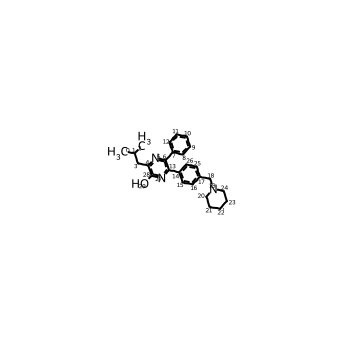 CC(C)Cc1nc(-c2ccccc2)c(-c2ccc(CN3CC[CH]CC3)cc2)nc1O